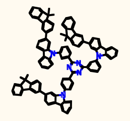 CC1(C)c2ccccc2-c2cc(-c3ccc4c5ccccc5n(-c5ccc(-c6nc(-c7cccc(-n8c9ccccc9c9ccc(-c%10ccc%11c(c%10)-c%10ccccc%10C%11(C)C)cc98)c7)nc(-c7cccc(-n8c9ccccc9c9ccc(-c%10ccc%11c(c%10)-c%10ccccc%10C%11(C)C)cc98)c7)n6)cc5)c4c3)ccc21